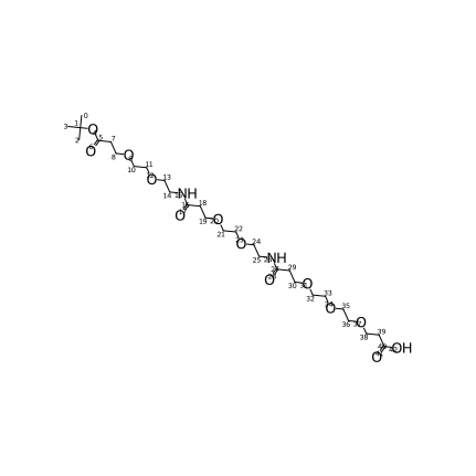 CC(C)(C)OC(=O)CCOCCOCCNC(=O)CCOCCOCCNC(=O)CCOCCOCCOCCC(=O)O